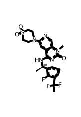 C[C@@H](Nc1nc(=O)n(C)c2cnc(N3CCS(=O)(=O)CC3)cc12)c1cccc(C(C)(F)F)c1F